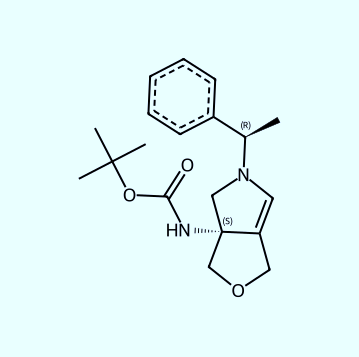 C[C@H](c1ccccc1)N1C=C2COC[C@@]2(NC(=O)OC(C)(C)C)C1